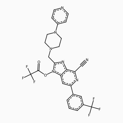 N#Cc1nc(-c2cccc(C(F)(F)F)c2)cc2c1nc(CN1CCN(c3ccncc3)CC1)n2OC(=O)C(F)(F)F